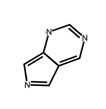 C1=NC=C2C=NC=C2[N]1